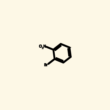 O=[N+]([O-])c1c[c]ccc1Br